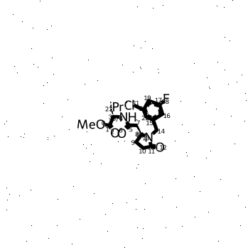 COC(=O)[C@@H](NC(=O)C[C@@H]1CCC(=O)N1Cc1cc(F)cc(Cl)c1)C(C)C